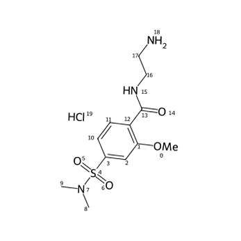 COc1cc(S(=O)(=O)N(C)C)ccc1C(=O)NCCN.Cl